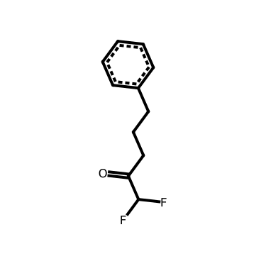 O=C(CCCc1ccccc1)C(F)F